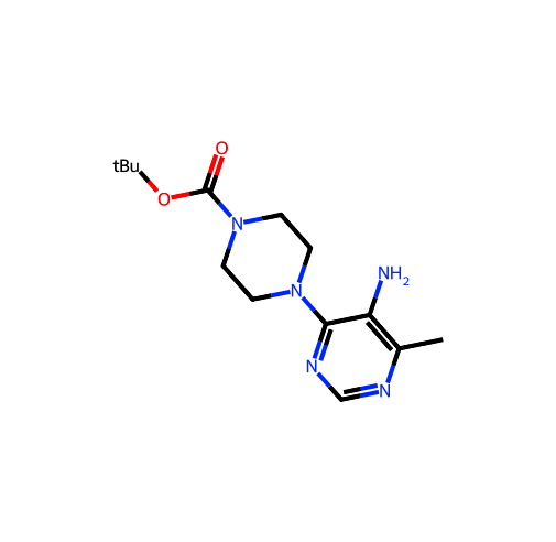 Cc1ncnc(N2CCN(C(=O)OC(C)(C)C)CC2)c1N